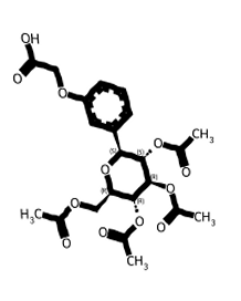 CC(=O)OC[C@H]1O[C@@H](c2cccc(OCC(=O)O)c2)[C@H](OC(C)=O)[C@@H](OC(C)=O)[C@@H]1OC(C)=O